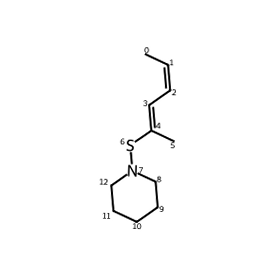 C/C=C\C=C(/C)SN1CCCCC1